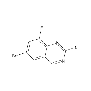 Fc1cc(Br)cc2cnc(Cl)nc12